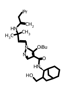 C=C(CC(C)C)NC(C)(C)/C=C/n1ncc(C(=O)N[C@@H]2C(CO)CC3CCCC2C3)c1OCC(C)C